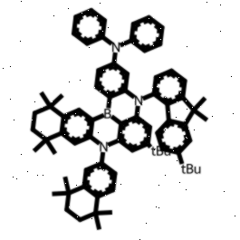 CC(C)(C)c1cc2c3c(c1)N(c1cccc4c1-c1ccc(C(C)(C)C)cc1C4(C)C)c1cc(N(c4ccccc4)c4ccccc4)ccc1B3c1cc3c(cc1N2c1ccc2c(c1)C(C)(C)CCC2(C)C)C(C)(C)CCC3(C)C